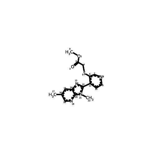 COC(=O)CSc1cnccc1-c1nc2cc(C)cnc2n1C